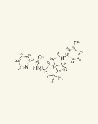 O=C(NC1CC(F)(F)C[C@]2(CCN(c3cccc(F)c3)C2=O)C1)c1ccccn1